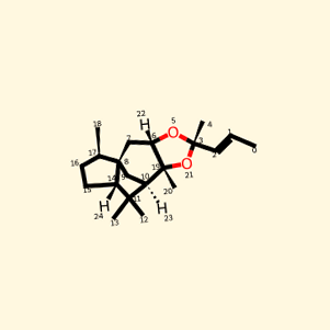 C/C=C/[C@@]1(C)O[C@H]2C[C@@]34C[C@H](C(C)(C)[C@@H]3CC[C@H]4C)[C@@]2(C)O1